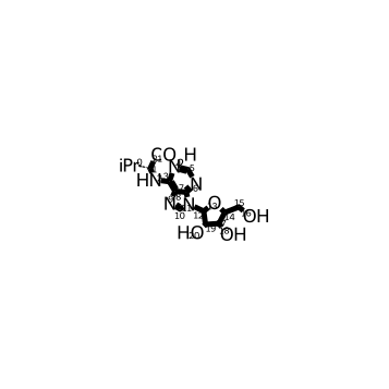 CC(C)[C@@H](Nc1ncnc2c1ncn2C1OC(CO)C(O)C1O)C(=O)O